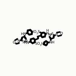 O=S(=O)(O)c1cc(NN2C=C(Nc3ccccc3)C=C(N3CCOCC3)S2)ccc1C=Cc1ccc(NN2C=C(Nc3ccccc3)C=C(N3CCOCC3)S2)cc1S(=O)(=O)O